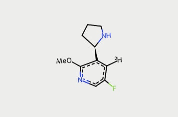 [2H]c1c(F)cnc(OC)c1[C@H]1CCCN1